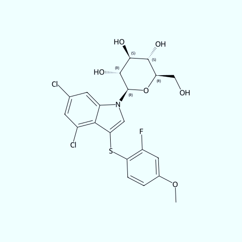 COc1ccc(Sc2cn([C@@H]3O[C@H](CO)[C@@H](O)[C@H](O)[C@H]3O)c3cc(Cl)cc(Cl)c23)c(F)c1